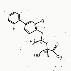 C[C@@](CO)(C[C@@H](N)Cc1ccc(-c2ccccc2F)cc1Cl)C(=O)O